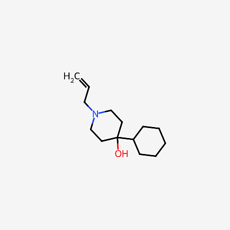 C=CCN1CCC(O)(C2CCCCC2)CC1